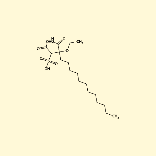 CCCCCCCCCCCCC(OCC)(C(=O)O)C(C(=O)O)S(=O)(=O)O